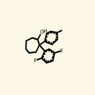 Cc1ccc(C2(c3cc(F)ccc3F)CCCCCC2O)cc1